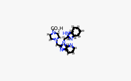 O=C(O)N1CCN(Cc2nc3cccnc3n2Cc2nc3ccccc3[nH]2)CC1